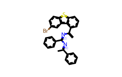 C=C(/N=C(\N=C(/C)c1ccccc1)c1ccccc1)c1cccc2sc3ccc(Br)cc3c12